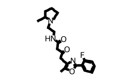 Cc1oc(-c2ccccc2F)nc1CC(=O)CC(=O)NCCN1CCCCC1C